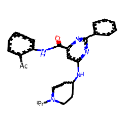 CC(=O)c1ccccc1NC(=O)c1cc(NC2CCN(C(C)C)CC2)nc(-c2ccccc2)n1